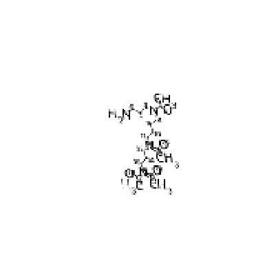 CC(=O)N(CCCN)CCCCN(CCCN(C(C)=O)C(C)=O)C(C)=O